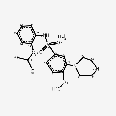 COc1ccc(S(=O)(=O)Nc2ccccc2OC(F)F)cc1N1CCNCC1.Cl